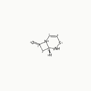 O=C1C[C@H]2NSC=CN12